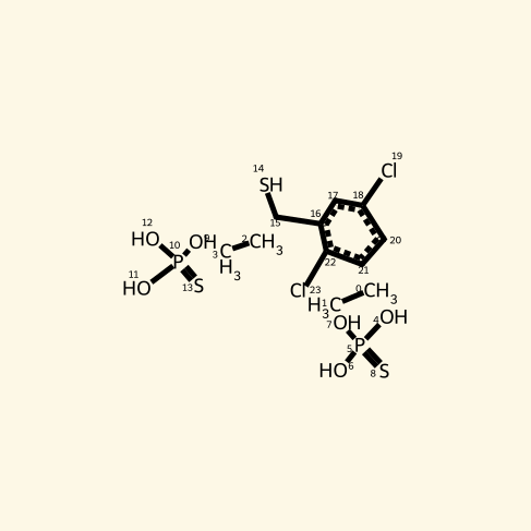 CC.CC.OP(O)(O)=S.OP(O)(O)=S.SCc1cc(Cl)ccc1Cl